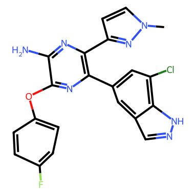 Cn1ccc(-c2nc(N)c(Oc3ccc(F)cc3)nc2-c2cc(Cl)c3[nH]ncc3c2)n1